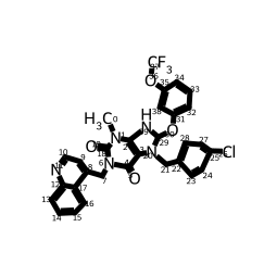 Cn1c2c(c(=O)n(Cc3ccnc4ccccc34)c1=O)N(Cc1ccc(Cl)cc1)C(Oc1cccc(OC(F)(F)F)c1)N2